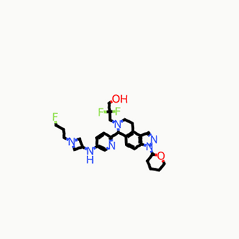 OCC(F)(F)CN1CCc2c(ccc3c2cnn3C2CCCCO2)C1c1ccc(NC2CN(CCCF)C2)cn1